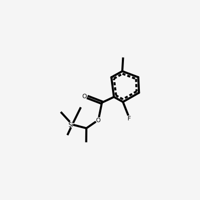 Cc1ccc(F)c(C(=O)OC(C)[Si](C)(C)C)c1